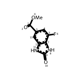 COC(=O)c1cc(F)c2[nH]c(=O)[nH]c2c1